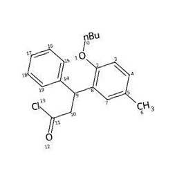 CCCCOc1ccc(C)cc1C(CC(=O)Cl)c1ccccc1